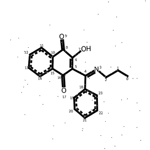 CCCN=C(C1=C(O)C(=O)c2ccccc2C1=O)c1ccccc1